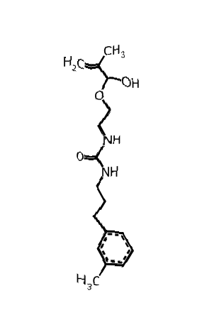 C=C(C)C(O)OCCNC(=O)NCCCc1cccc(C)c1